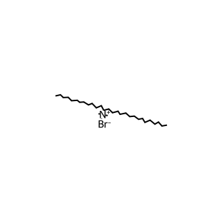 CCCCCCCCCCCCCCCC(CCCCCCCCCCCC)[N+](C)(C)C.[Br-]